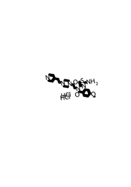 COc1ccc(C(=O)N(CC(=O)N2CCN(CCc3ccncc3)CC2)c2csc(N)n2)cc1.Cl.Cl